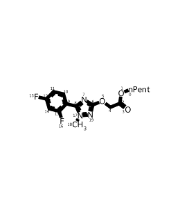 CCCCCOC(=O)COc1nc(-c2ccc(F)cc2F)n(C)n1